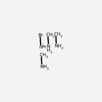 CN.CN.CN.[CH2]CCBr